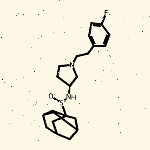 [O-][S+](N[C@H]1CCN(CCc2ccc(F)cc2)C1)C12CC3CC(CC(C3)C1)C2